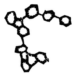 c1ccc(-c2ccc(-c3cccc(-n4c5ccccc5c5cc(-c6ccc7c8cccc9c%10cnccc%10n(c7c6)c98)ccc54)c3)cc2)cc1